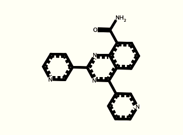 NC(=O)c1cccc2c(-c3cccnc3)nc(-c3cccnc3)nc12